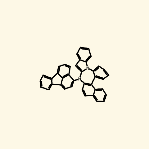 c1ccc2c(c1)-c1cccc3c(N4c5ccc6ccccc6c5-c5ccccc5-n5c4cc4ccccc45)ccc-2c13